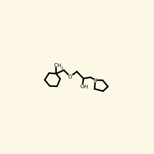 CC1(COCC(O)CN2CCCC2)CCCCC1